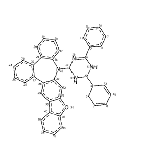 C1=CCC(C2NC(c3ccccc3)=NC(N3c4ccccc4-c4ccccc4-c4cc5c(cc43)oc3ccccc35)N2)C=C1